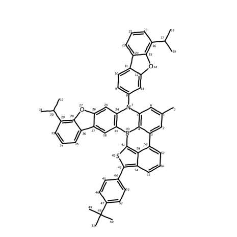 Cc1cc2c3c(c1)N(c1ccc4c(c1)oc1c(C(C)C)cccc14)c1cc4oc5c(C(C)C)cccc5c4cc1B3c1sc(-c3ccc(C(C)(C)C)cc3)c3cccc-2c13